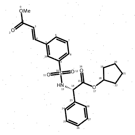 COC(=O)/C=C/c1cccc(S(=O)(=O)N[C@H](C(=O)OC2CCCC2)c2ccccc2)c1